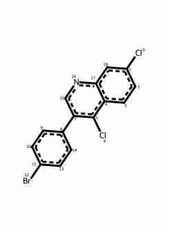 Clc1ccc2c(Cl)c(-c3ccc(Br)cc3)cnc2c1